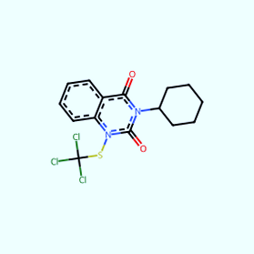 O=c1c2ccccc2n(SC(Cl)(Cl)Cl)c(=O)n1C1CCCCC1